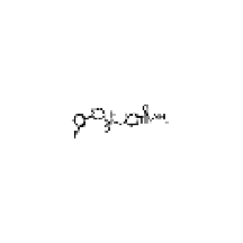 NNC(=O)c1ccc(CNC(=O)N2CCSC(c3cccc(F)c3)C2)nc1